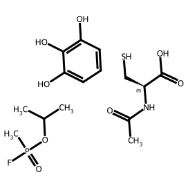 CC(=O)N[C@@H](CS)C(=O)O.CC(C)OP(C)(=O)F.Oc1cccc(O)c1O